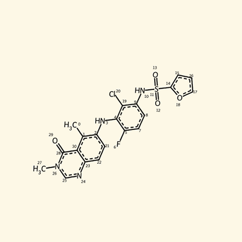 Cc1c(Nc2c(F)ccc(NS(=O)(=O)c3ccco3)c2Cl)ccc2ncn(C)c(=O)c12